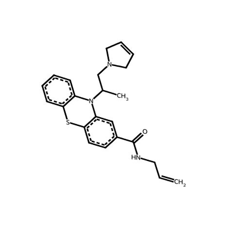 C=CCNC(=O)c1ccc2c(c1)N(C(C)CN1CC=CC1)c1ccccc1S2